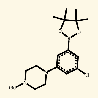 CC(C)(C)N1CCN(c2cc(Cl)cc(B3OC(C)(C)C(C)(C)O3)c2)CC1